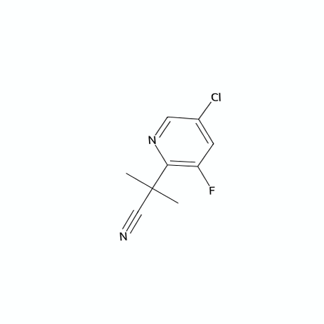 CC(C)(C#N)c1ncc(Cl)cc1F